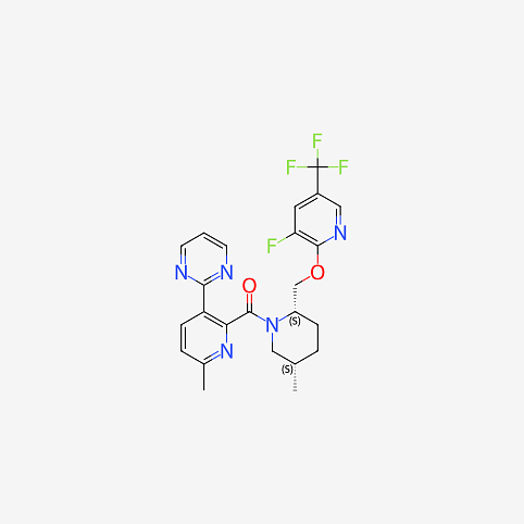 Cc1ccc(-c2ncccn2)c(C(=O)N2C[C@@H](C)CC[C@H]2COc2ncc(C(F)(F)F)cc2F)n1